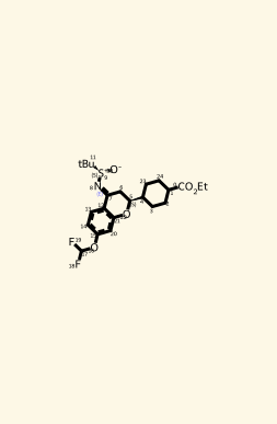 CCOC(=O)C1CCC([C@@H]2C/C(=N\[S@+]([O-])C(C)(C)C)c3ccc(OC(F)F)cc3O2)CC1